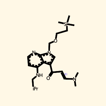 CC(C)CNc1ccnc2c1c(C(=O)/C=C/N(C)C)cn2COCC[Si](C)(C)C